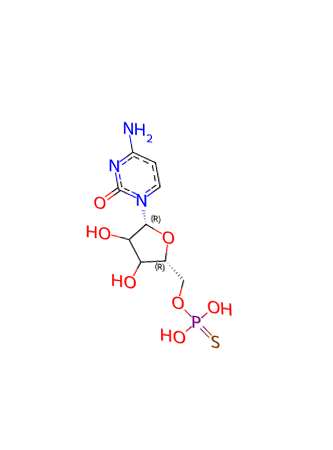 Nc1ccn([C@@H]2O[C@H](COP(O)(O)=S)C(O)C2O)c(=O)n1